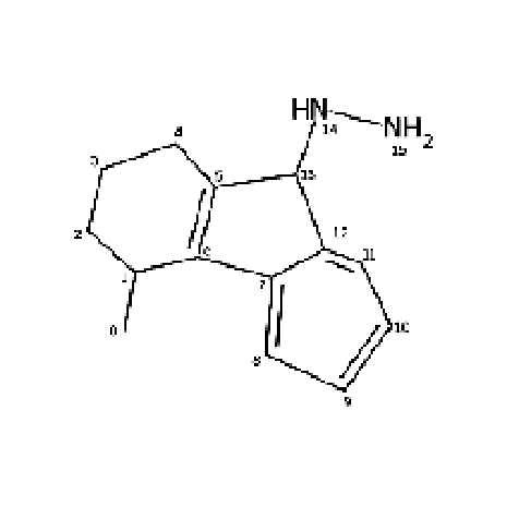 CC1CCCC2=C1c1ccccc1C2NN